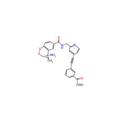 COC(=O)c1cccc(C#Cc2ccnc(CNC(=O)c3ccc4c(c3)[C@](C)(N)CCO4)c2)c1